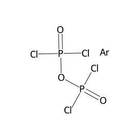 O=P(Cl)(Cl)OP(=O)(Cl)Cl.[Ar]